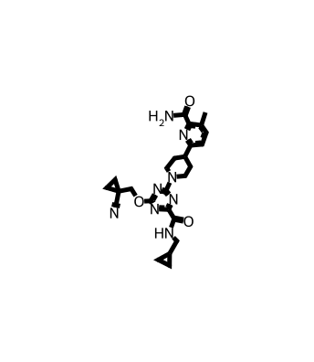 Cc1ccc(C2CCN(c3nc(OCC4(C#N)CC4)nc(C(=O)NCC4CC4)n3)CC2)nc1C(N)=O